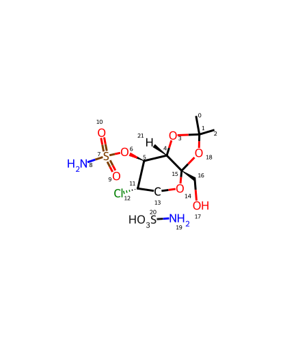 CC1(C)O[C@H]2[C@H](OS(N)(=O)=O)[C@@H](Cl)CO[C@@]2(CO)O1.NS(=O)(=O)O